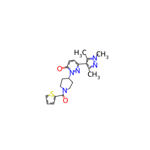 Cc1nn(C)c(C)c1-c1ccc(=O)n(C2CCN(C(=O)c3cccs3)CC2)n1